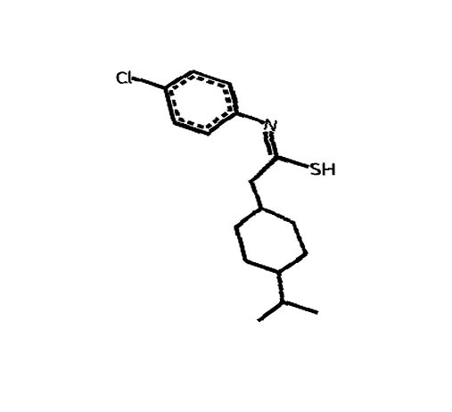 CC(C)C1CCC(C/C(S)=N\c2ccc(Cl)cc2)CC1